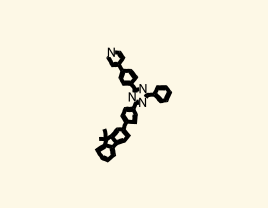 CC1(C)c2ccccc2-c2ccc(-c3ccc(-c4nc(-c5ccccc5)nc(-c5ccc(-c6ccncc6)cc5)n4)cc3)cc21